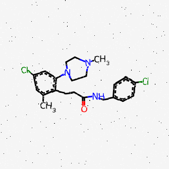 Cc1cc(Cl)cc(N2CCN(C)CC2)c1CCC(=O)NCc1ccc(Cl)cc1